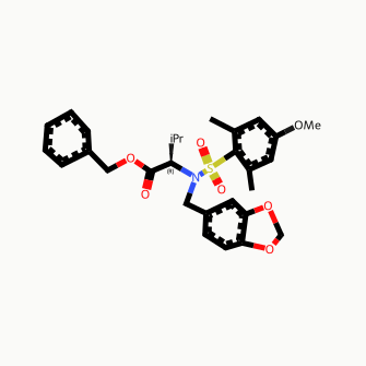 COc1cc(C)c(S(=O)(=O)N(Cc2ccc3c(c2)OCO3)[C@@H](C(=O)OCc2ccccc2)C(C)C)c(C)c1